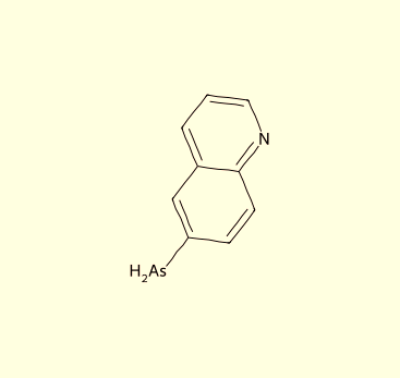 [AsH2]c1ccc2ncccc2c1